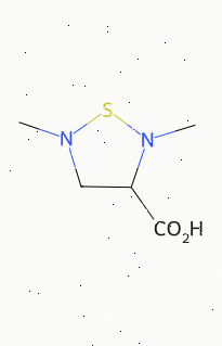 CN1CC(C(=O)O)N(C)S1